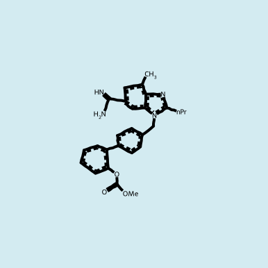 CCCc1nc2c(C)cc(C(=N)N)cc2n1Cc1ccc(-c2ccccc2OC(=O)OC)cc1